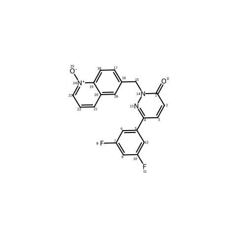 O=c1ccc(-c2cc(F)cc(F)c2)nn1Cc1ccc2c(ccc[n+]2[O-])c1